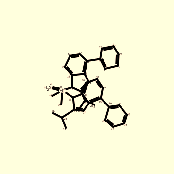 CC(C)C1=Cc2c(-c3ccccc3)cccc2[CH]1[Hf]([CH3])([CH3])(=[SiH2])[CH]1C(C(C)C)=Cc2c(-c3ccccc3)cccc21